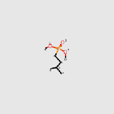 COP(=O)(CCC(C)C)OC